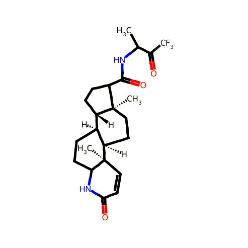 CC(NC(=O)C1CC[C@H]2[C@@H]3CCC4NC(=O)C=C[C@]4(C)[C@@H]3CC[C@]12C)C(=O)C(F)(F)F